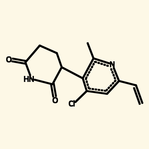 C=Cc1cc(Cl)c(C2CCC(=O)NC2=O)c(C)n1